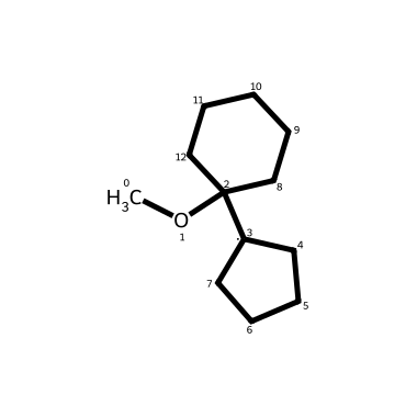 COC1([C]2CCCC2)CCCCC1